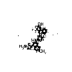 CN1CCc2c(cc(Nc3ncc(Cl)c(N4CC(C)(CC(=O)O)c5ccccc54)n3)cc2C2CCN(C)C2)C1